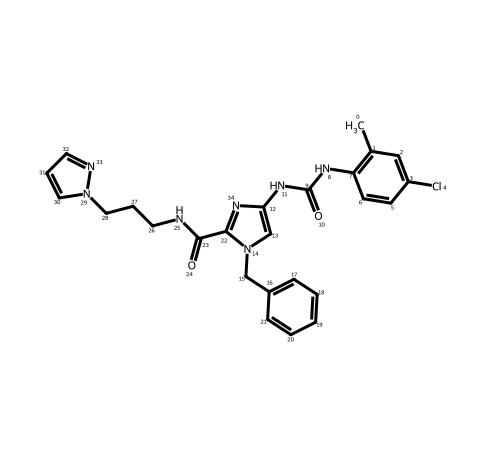 Cc1cc(Cl)ccc1NC(=O)Nc1cn(Cc2ccccc2)c(C(=O)NCCCn2cccn2)n1